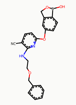 N#Cc1ccc(Oc2ccc3c(c2)COB3O)nc1NCCOCc1ccccc1